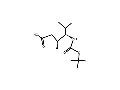 CC(C)[C@@H](NC(=O)OC(C)(C)C)[C@@H](C)CC(=O)O